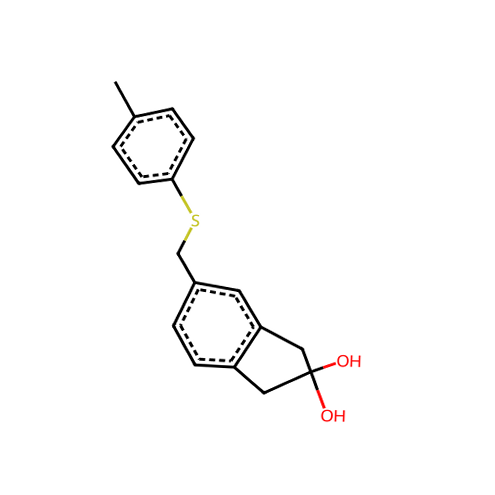 Cc1ccc(SCc2ccc3c(c2)CC(O)(O)C3)cc1